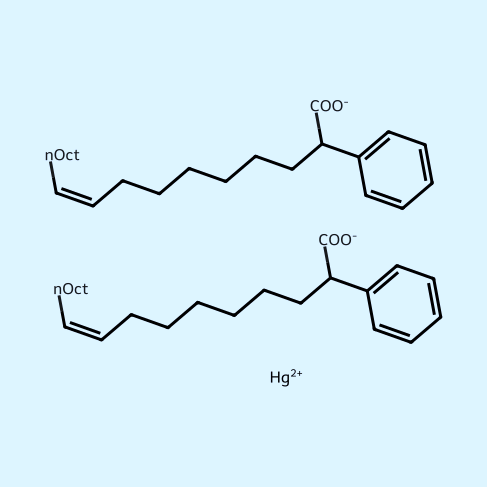 CCCCCCCC/C=C\CCCCCCC(C(=O)[O-])c1ccccc1.CCCCCCCC/C=C\CCCCCCC(C(=O)[O-])c1ccccc1.[Hg+2]